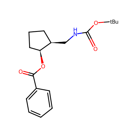 CC(C)(C)OC(=O)NC[C@@H]1CCC[C@@H]1OC(=O)c1ccccc1